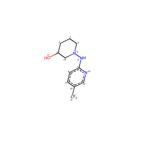 OC1CCCN(Nc2ccc(C(F)(F)F)cn2)C1